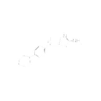 NC1=NCC(CNc2ccc(C3CCCCC3)cc2)O1